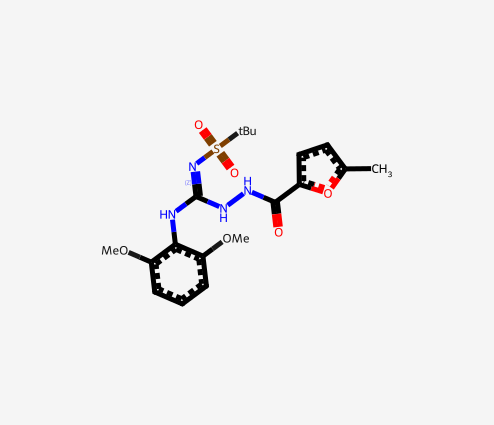 COc1cccc(OC)c1N/C(=N/S(=O)(=O)C(C)(C)C)NNC(=O)c1ccc(C)o1